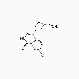 CCN1CCC(c2c[nH]c(=O)c3cc(Cl)ccc23)C1